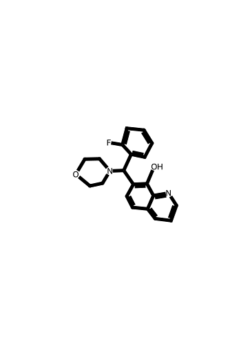 Oc1c(C(c2ccccc2F)N2CCOCC2)ccc2cccnc12